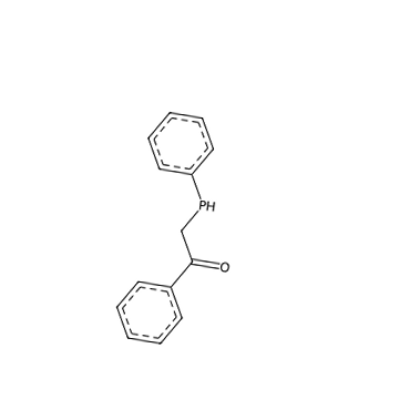 O=C(CPc1ccccc1)c1ccccc1